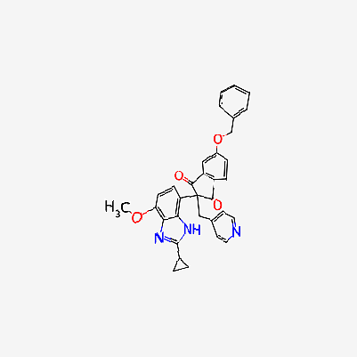 COc1ccc(C2(Cc3ccncc3)C(=O)c3ccc(OCc4ccccc4)cc3C2=O)c2[nH]c(C3CC3)nc12